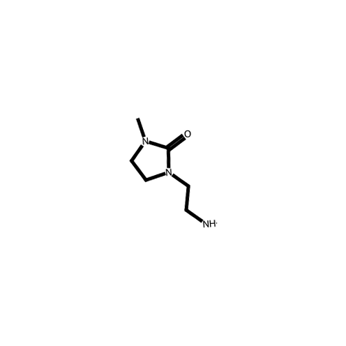 CN1CCN(CC[NH])C1=O